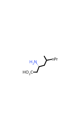 CCCC(C)C[C@@H](N)CC(=O)O